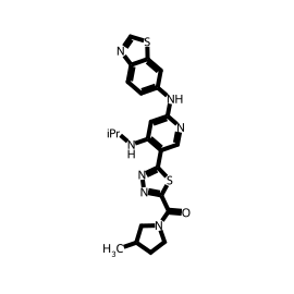 CC1CCN(C(=O)c2nnc(-c3cnc(Nc4ccc5ncsc5c4)cc3NC(C)C)s2)C1